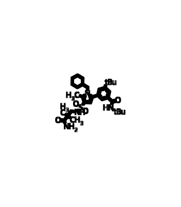 Cc1c(S(=O)(=O)NCC(C)(C)C(N)=O)cc(-c2cc(C(=O)NC(C)(C)C)cc(C(C)(C)C)c2)n1CC1CCCCC1